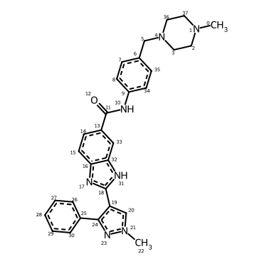 CN1CCN(Cc2ccc(NC(=O)c3ccc4nc(-c5cn(C)nc5-c5ccccc5)[nH]c4c3)cc2)CC1